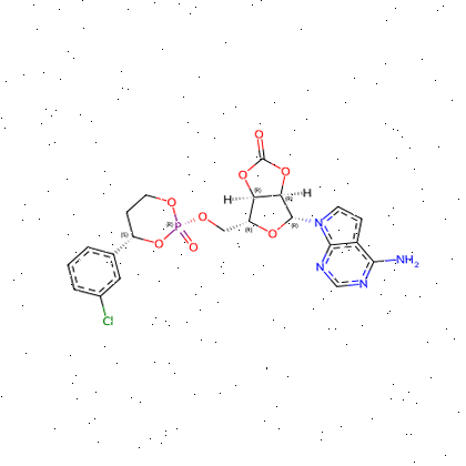 Nc1ncnc2c1ccn2[C@@H]1O[C@H](CO[P@@]2(=O)OCC[C@@H](c3cccc(Cl)c3)O2)[C@H]2OC(=O)O[C@H]21